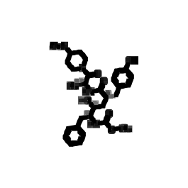 CC[C@H](C)[C@H](NC(=O)[C@H](Cc1ccc(O)cc1)C[C@H](O)[C@H](Cc1ccccc1)NC(=O)OC(C)(C)C)C(=O)N1CCC(NC)CC1